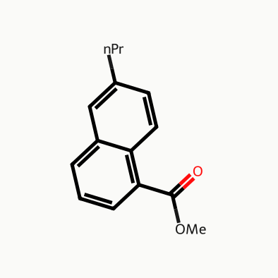 CCCc1ccc2c(C(=O)OC)cccc2c1